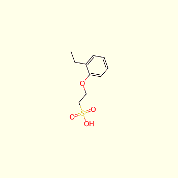 CCc1ccccc1OCCS(=O)(=O)O